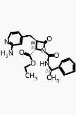 CCOC(=O)[C@@H]1[C@@H](Cc2ccnc(N)c2)C(=O)N1C(=O)N[C@H](C)c1ccccc1